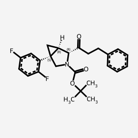 CC(C)(C)OC(=O)N1C[C@@]2(c3cc(F)ccc3F)C[C@H]2[C@@H]1C(=O)CCc1ccccc1